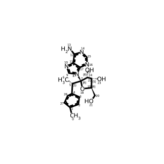 Cc1ccc([C@H](C)[C@@]2(n3cnc4c(N)ncnc43)O[C@H](CO)[C@@H](O)[C@H]2O)cc1